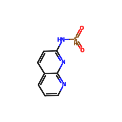 O=[SH](=O)Nc1ccc2cccnc2n1